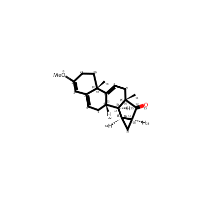 COC1=CC2=CC[C@@H]3C(=CC[C@]4(C)C(=O)[C@H]5C[C@H]5[C@@H]34)[C@@]2(C)CC1